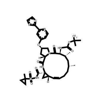 C[C@@H]1CC/C=C\[C@@H]2C[C@@]2(C(=O)NS(=O)(=O)C2(C)CC2)NC(=O)[C@@H]2C[C@@H](Oc3ccnc(-c4nccs4)c3)CN2C(=O)[C@@H](NC(=O)OC(C)(C)C(F)(F)F)[C@H](C)C1